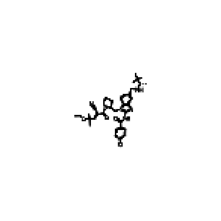 CCOC(C)(C)C=C(C#N)C(=O)N1CCCC1Cn1c(NC(=O)c2ccc(Cl)cc2)nc2cc(CN[C@@H](C)C(C)(C)C)ccc21